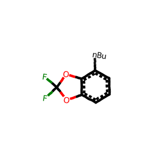 CCCCc1cccc2c1OC(F)(F)O2